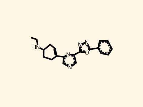 CCNC1CC=C(c2cncc(-c3nnc(-c4ccccc4)o3)n2)CC1